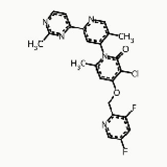 Cc1nccc(-c2cc(-n3c(C)cc(OCc4ncc(F)cc4F)c(Cl)c3=O)c(C)cn2)n1